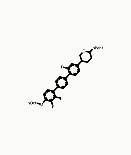 CCCCCCCCOc1ccc(-c2ccc(-c3ccc(C4CCC(CCCCC)OC4)cc3F)cc2)c(F)c1F